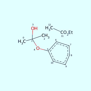 CC(C)(O)Oc1ccccc1.CCOC(C)=O